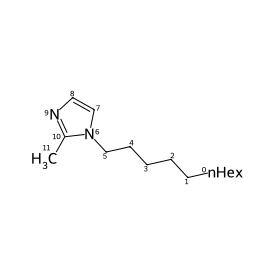 CCCCCCCCCCCn1ccnc1C